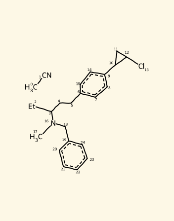 CC#N.CCC(CCc1ccc(C2CC2Cl)cc1)N(C)Cc1ccccc1